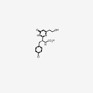 O=C(O)N[C@@H](Cc1ccc(Cl)cc1)c1nc(CCO)cc(=O)[nH]1